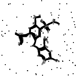 CN[SH](=O)(Cl)c1cc(Oc2cnc(N)nc2N)c(C(C)C)cc1OC